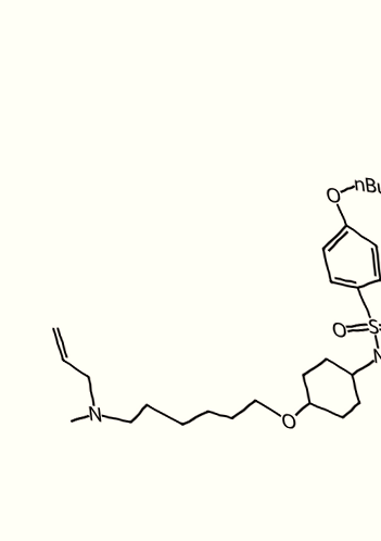 C=CCN(C)CCCCCCOC1CCC(N(C)S(=O)(=O)c2ccc(OCCCC)cc2)CC1